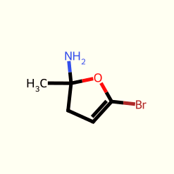 CC1(N)CC=C(Br)O1